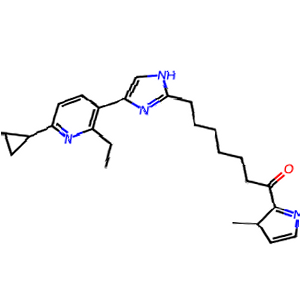 CCc1nc(C2CC2)ccc1-c1c[nH]c(CCCCCCC(=O)C2=NC=CC2C)n1